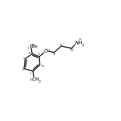 Cc1ccc(C(C)(C)C)c(OCCCN)c1